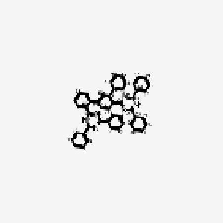 c1ccc(-c2nc(-c3ccccc3)nc(-c3ccccc3-c3ccc(-c4nc(-c5ccccc5)nc(-c5ccccc5)n4)c(-c4ccccc4)c3)n2)cc1